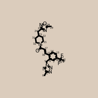 Cc1nnn(Cc2cc(C(F)(F)F)ccc2C=CC(=O)N2CCC(Cc3noc(C)n3)CC2)n1